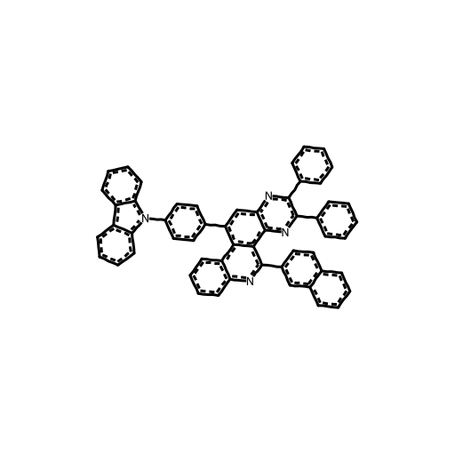 c1ccc(-c2nc3cc(-c4ccc(-n5c6ccccc6c6ccccc65)cc4)c4c5ccccc5nc(-c5ccc6ccccc6c5)c4c3nc2-c2ccccc2)cc1